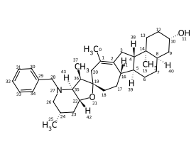 CC1=C2C[C@H]3[C@@H](CC[C@@H]4C[C@@H](O)CC[C@@]43C)[C@@H]2CC[C@@]2(C1)O[C@@H]1C[C@H](C)CN(Cc3ccccc3)[C@H]1[C@H]2C